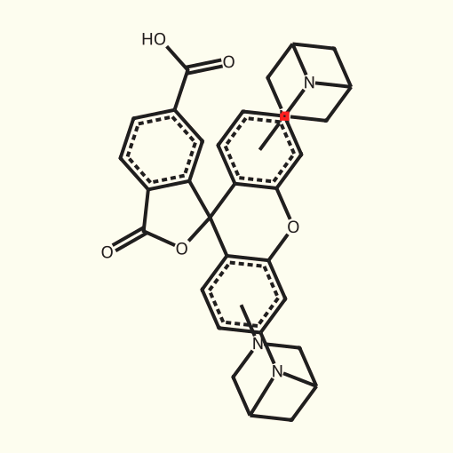 CN1CC2CC(C1)N2c1ccc2c(c1)Oc1cc(N3C4CC3CN(C)C4)ccc1C21OC(=O)c2ccc(C(=O)O)cc21